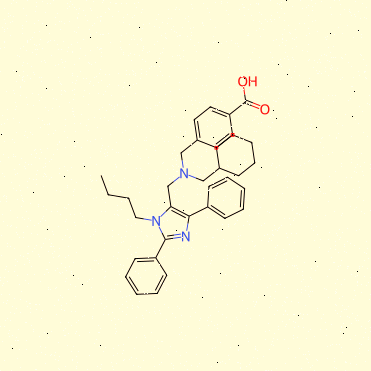 CCCCn1c(-c2ccccc2)nc(-c2ccccc2)c1CN(Cc1ccc(C(=O)O)cc1)CC1CCCCC1